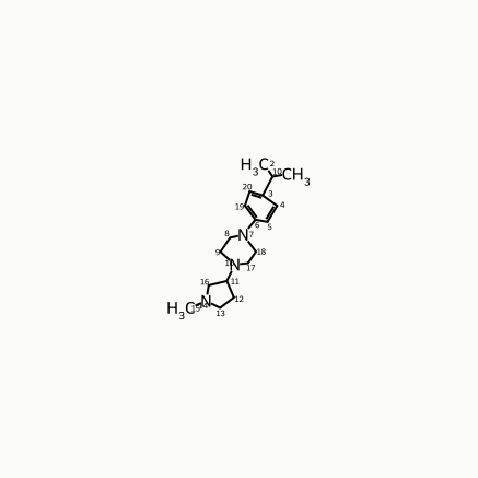 CC(C)c1ccc(N2CCN(C3CCN(C)C3)CC2)cc1